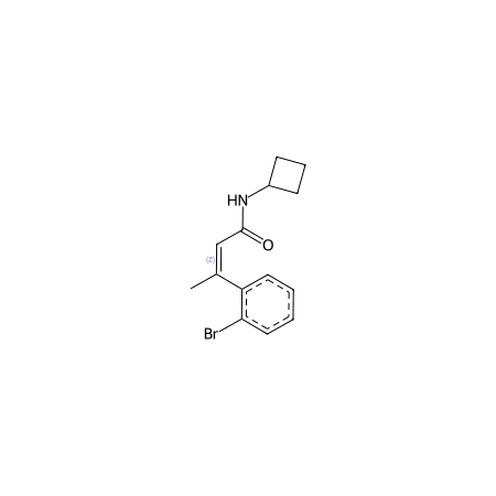 C/C(=C/C(=O)NC1CCC1)c1ccccc1Br